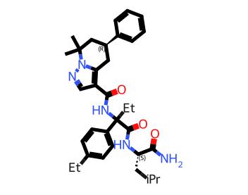 CCc1ccc(C(CC)(NC(=O)c2cnn3c2C[C@H](c2ccccc2)CC3(C)C)C(=O)N[C@@H](CC(C)C)C(N)=O)cc1